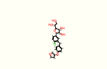 OC[C@@H](O)C1O[C@H](c2ccc(Cl)c(Cc3ccc(O[C@H]4CCOC4)cc3)c2)[C@H](O)[C@H]1O